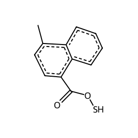 Cc1ccc(C(=O)OS)c2ccccc12